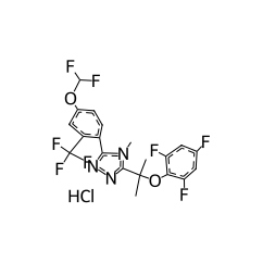 Cl.Cn1c(-c2ccc(OC(F)F)cc2C(F)(F)F)nnc1C(C)(C)Oc1c(F)cc(F)cc1F